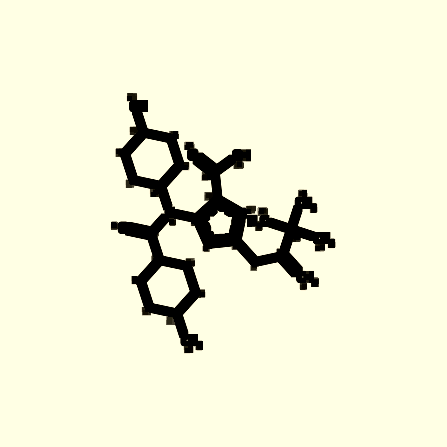 C=C(Cc1cc(N(C(=O)C2CCC(C)CC2)C2CCC(O)CC2)c(C(=O)O)s1)C(C)(C)C